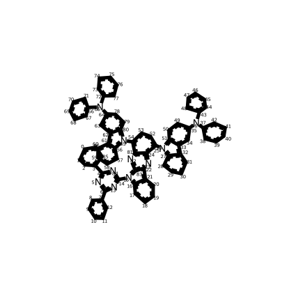 c1ccc(-c2nc(-c3ccccc3)nc(-n3c4ccccc4c4nc5c(-n6c7ccccc7c7cc(N(c8ccccc8)c8ccccc8)ccc76)ccc(-n6c7ccccc7c7cc(N(c8ccccc8)c8ccccc8)ccc76)c5nc43)n2)cc1